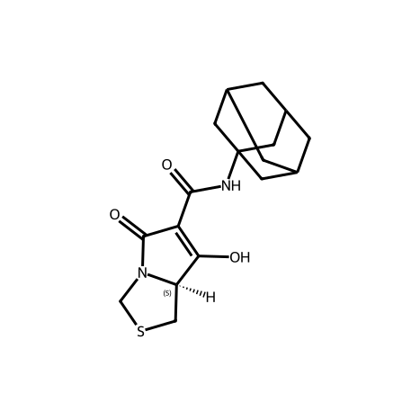 O=C(NC12CC3CC(CC(C3)C1)C2)C1=C(O)[C@H]2CSCN2C1=O